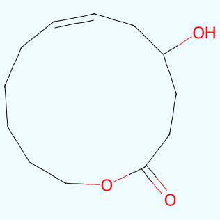 O=C1CCC(O)CC=CCCCCCO1